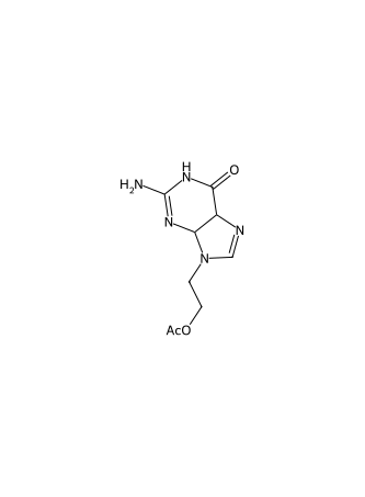 CC(=O)OCCN1C=NC2C(=O)NC(N)=NC21